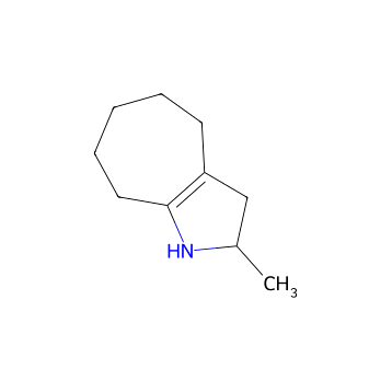 CC1CC2=C(CCCCC2)N1